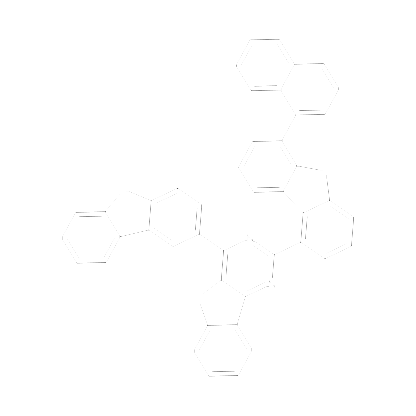 c1ccc2c(-c3cccc4c3oc3cccc(-c5nc(-c6ccc7sc8ccccc8c7c6)c6oc7ccccc7c6n5)c34)cccc2c1